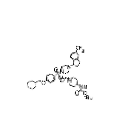 CC(C)(C)OC(=O)NC1CCN(C(=O)[C@@H]2CN(C3CCc4cc(C(F)(F)F)ccc43)CCN2S(=O)(=O)c2ccc(OCC3CCCCC3)cc2)CC1